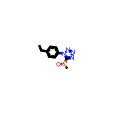 CCc1ccc(-n2nnnc2[S+](C)[O-])cc1